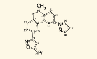 CC(C)c1cc(-c2ccc(CC(C)c3ccc(-n4cccn4)cc3)cc2)no1